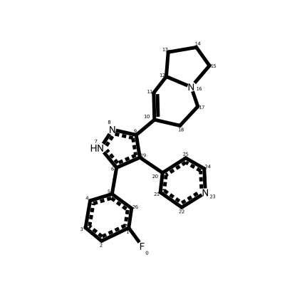 Fc1cccc(-c2[nH]nc(C3=CC4CCCN4CC3)c2-c2ccncc2)c1